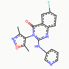 Cc1noc(C)c1-n1c(Nc2cccnc2)nc2ccc(F)cc2c1=O